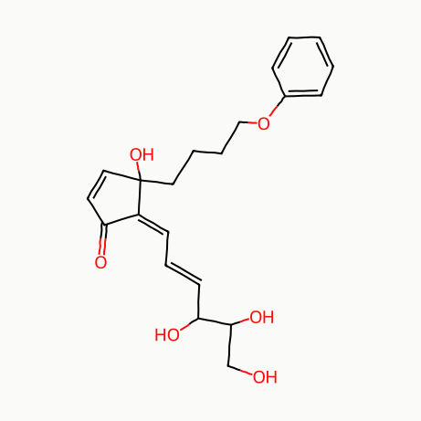 O=C1C=CC(O)(CCCCOc2ccccc2)C1=CC=CC(O)C(O)CO